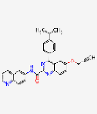 C#CCOc1ccc2nc(C(=O)Nc3ccc4ncccc4c3)nc(-c3ccc(C(C)C)cc3)c2c1